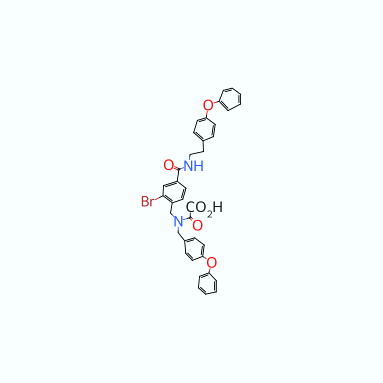 O=C(O)C(=O)N(Cc1ccc(Oc2ccccc2)cc1)Cc1ccc(C(=O)NCCc2ccc(Oc3ccccc3)cc2)cc1Br